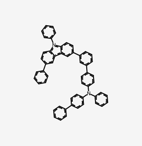 c1ccc(-c2ccc(N(c3ccccc3)c3ccc(-c4cccc(-c5ccc6c(c5)c5cc(-c7ccccc7)ccc5n6-c5ccccc5)c4)cc3)cc2)cc1